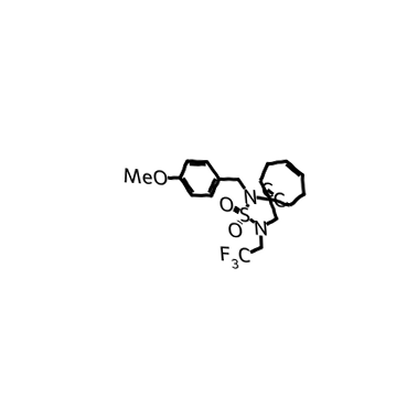 COc1ccc(CN2C3(CN(CC(F)(F)F)S2(=O)=O)C2CC=CCC3CC2)cc1